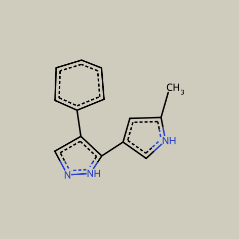 Cc1cc(-c2[nH]ncc2-c2ccccc2)c[nH]1